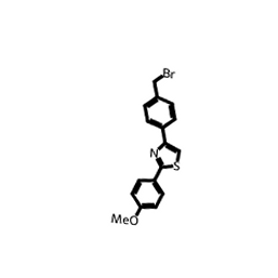 COc1ccc(-c2nc(-c3ccc(CBr)cc3)cs2)cc1